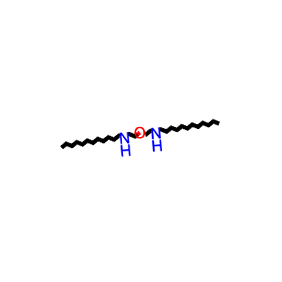 CCCCCCCCCCCCNCCOCCNCCCCCCCCCCCC